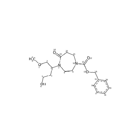 COCC(CCO)N1CCN(C(=O)OCc2ccccc2)CCC1=O